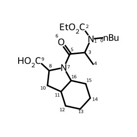 CCCCN(C(=O)OCC)C(C)C(=O)N1C(C(=O)O)CC2CCCCC21